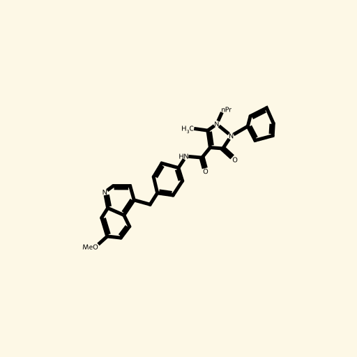 CCCn1c(C)c(C(=O)Nc2ccc(Cc3ccnc4cc(OC)ccc34)cc2)c(=O)n1-c1ccccc1